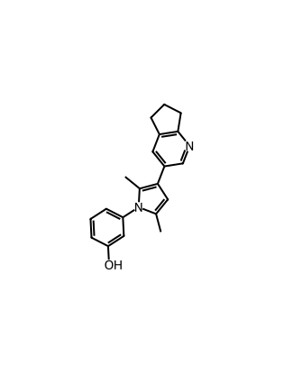 Cc1cc(-c2cnc3c(c2)CCC3)c(C)n1-c1cccc(O)c1